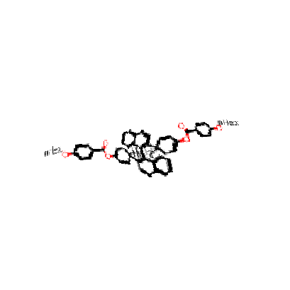 CCCCCCOc1ccc(C(=O)OC2=CCC(C(=O)O)(c3ccc4ccccc4c3-c3c(C4(C(=O)O)C=CC(OC(=O)c5ccc(OCCCCCC)cc5)=CC4)ccc4ccccc34)C=C2)cc1